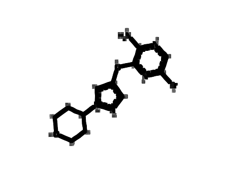 Nc1ncc(Br)nc1Oc1cnn(C2CCOCC2)c1